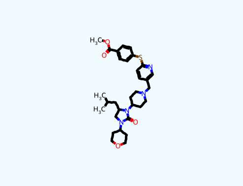 COC(=O)c1ccc(Sc2ccc(CN3CCC(N4C(=O)N(C5CCOCC5)CC4CC(C)C)CC3)cn2)cc1